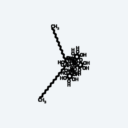 CCCCCCCCCCCCCCCCCCC(O)C(=O)N[C@@H](COP(=O)(O)O[C@H]1C(O)C(O)C(O)[C@@H](O)C1O[C@H]1O[C@H](COP(=O)(O)OC2C(O)C(O)C(O)[C@@H](O)C2O)[C@@H](O)C(O)C1O)[C@H](O)[C@H](O)CCCCCCCCCCCCCCCC